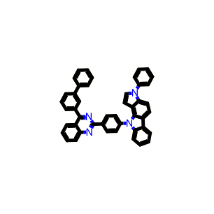 c1ccc(-c2cccc(-c3nc(-c4ccc(-n5c6ccccc6c6ccc7c(ccn7-c7ccccc7)c65)cc4)nc4ccccc34)c2)cc1